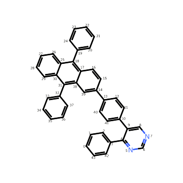 c1ccc(-c2ncncc2-c2ccc(-c3ccc4c(-c5ccccc5)c5ccccc5c(-c5ccccc5)c4c3)cc2)cc1